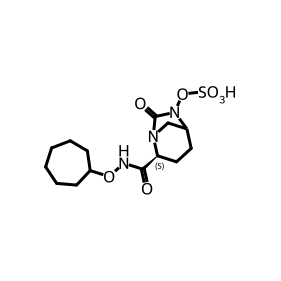 O=C(NOC1CCCCCC1)[C@@H]1CCC2CN1C(=O)N2OS(=O)(=O)O